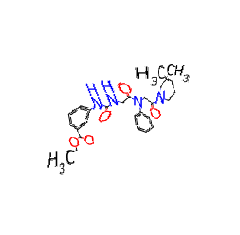 CCOC(=O)c1cccc(NC(=O)NCC(=O)N(CC(=O)N2CCCC(C)(C)C2)c2ccccc2)c1